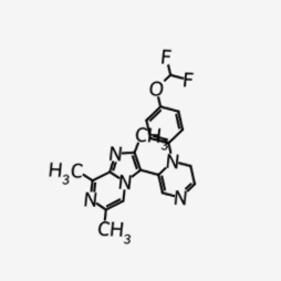 Cc1cn2c(C3=CN=CCN3c3ccc(OC(F)F)cc3)c(C)nc2c(C)n1